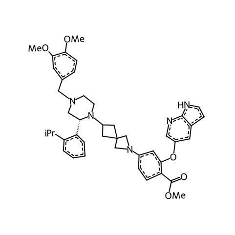 COC(=O)c1ccc(N2CC3(CC(N4CCN(Cc5ccc(OC)c(OC)c5)C[C@H]4c4ccccc4C(C)C)C3)C2)cc1Oc1cnc2[nH]ccc2c1